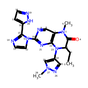 CCC1C(=O)N(C)c2cnc(-n3ccnc3-c3ccn[nH]3)nc2N1c1cnn(C)c1